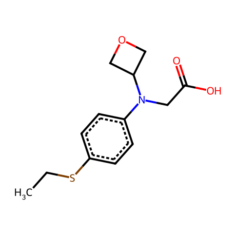 CCSc1ccc(N(CC(=O)O)C2COC2)cc1